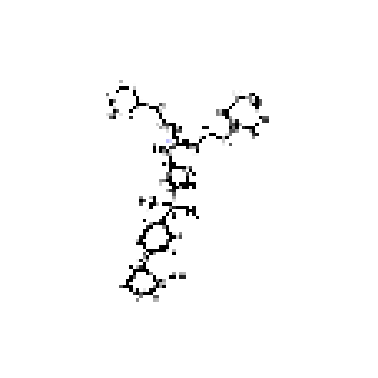 CC(C)(c1ccc(-c2ccccc2F)cc1)c1cc(N/C(=N\CCN2CCOCC2)NCCN2CCOCC2)on1